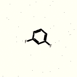 Fc1[c]ccc(F)[c]1